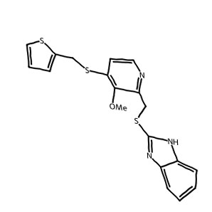 COc1c(SCc2cccs2)ccnc1CSc1nc2ccccc2[nH]1